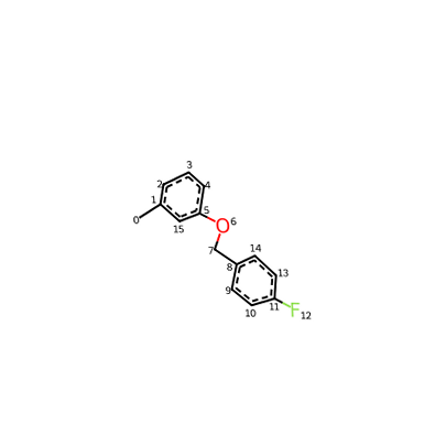 Cc1cccc(OCc2ccc(F)cc2)c1